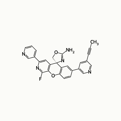 CC#Cc1cncc(-c2ccc3c(c2)[C@@]2(COC(N)=N2)c2cc(-c4cccnc4)nc(F)c2O3)c1